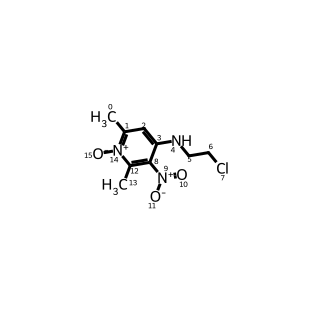 Cc1cc(NCCCl)c([N+](=O)[O-])c(C)[n+]1[O-]